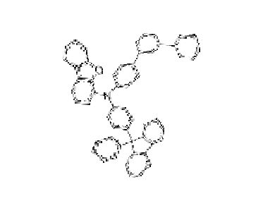 c1ccc(-c2cccc(-c3ccc(N(c4ccc(C5(c6ccccc6)c6ccccc6-c6ccccc65)cc4)c4cccc5c4oc4ccccc45)cc3)c2)cc1